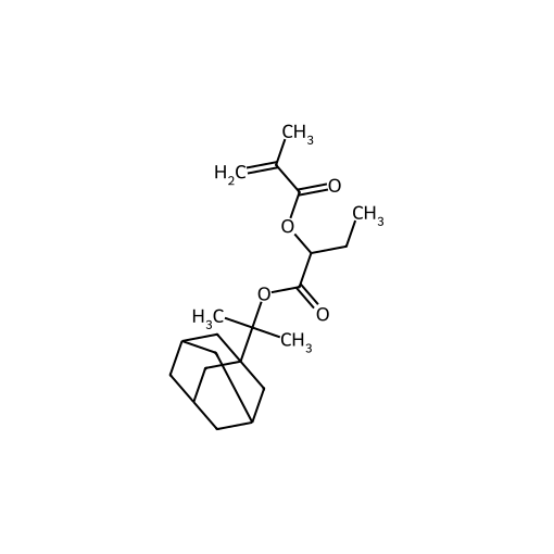 C=C(C)C(=O)OC(CC)C(=O)OC(C)(C)C12CC3CC(CC(C3)C1)C2